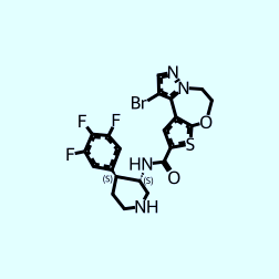 O=C(N[C@@H]1CNCC[C@H]1c1cc(F)c(F)c(F)c1)c1cc2c(s1)OCCn1ncc(Br)c1-2